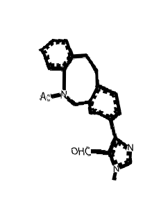 CC(=O)N1Cc2cc(-c3ncn(C)c3C=O)ccc2CCc2ccccc21